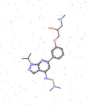 CNCC(O)COc1cccc(-c2cc(NSN(C)C)c3cnn(C(C)C)c3n2)c1